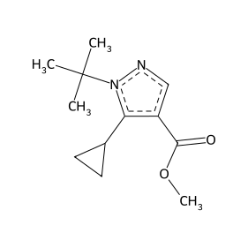 COC(=O)c1cnn(C(C)(C)C)c1C1CC1